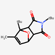 CC1=CC2OC1(C(C)(C)C)C1C(=O)N(C(C)(C)C)C(=O)C21